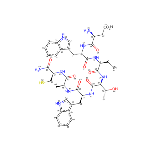 CC(C)C[C@H](NC(=O)[C@H](Cc1c[nH]c2ccccc12)NC(=O)[C@@H](N)CC(=O)O)C(=O)N[C@H](C(=O)N[C@@H](Cc1c[nH]c2ccccc12)C(=O)N[C@@H](C)C(=O)N[C@@H](CS)C(N)=O)[C@@H](C)O